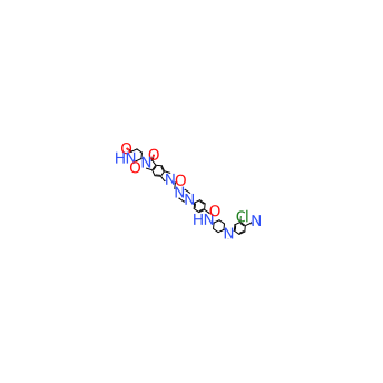 CN(c1ccc(C#N)c(Cl)c1)[C@H]1CC[C@H](NC(=O)c2ccc(N3CCN(CC(=O)N4Cc5cc6c(cc5C4)C(=O)N([C@H]4CCC(=O)NC4=O)C6)CC3)cc2)CC1